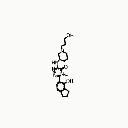 Cn1c(-c2ccc3c(c2O)CCC3)nnc(N[C@@H]2CCCN(CCCO)C2)c1=O